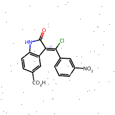 O=C1Nc2ccc(C(=O)O)cc2/C1=C(/Cl)c1cccc([N+](=O)[O-])c1